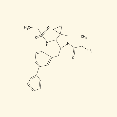 CCS(=O)(=O)NC1C(Cc2cccc(-c3ccccc3)c2)N(C(=O)C(C)C)CC12CC2